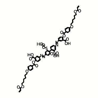 C=CC(=O)OCCCCCCOc1ccc(C(=O)Oc2ccc(N=Nc3ccc(-c4ccc(N=Nc5ccc(OC(=O)c6ccc(OCCCCCCOC(=O)C=C)cc6)c(C(=O)O)c5)cc4S(=O)(=O)O)c(SOOO)c3)cc2C(=O)O)cc1